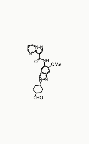 COc1cc2nn(C3CCC(C=O)CC3)cc2cc1NC(=O)c1cnn2cccnc12